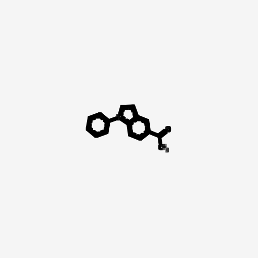 O=C(c1ccc2c(ccn2-c2ccccc2)c1)C(F)(F)F